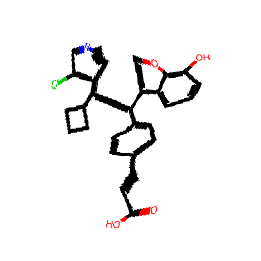 O=C(O)C=Cc1ccc(C(=C(c2ccncc2Cl)C2CCC2)c2coc3c(O)cccc23)cc1